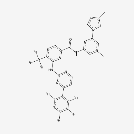 [2H]c1nc([2H])c(-c2ccnc(Nc3cc(C(=O)Nc4cc(C)cc(-n5ccc(C)c5)c4)ccc3C([2H])([2H])[2H])n2)c([2H])c1[2H]